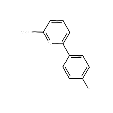 CCc1ccc(-c2cccc(OC)n2)cc1